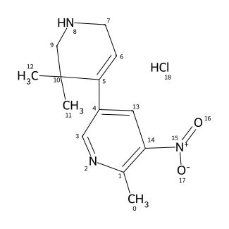 Cc1ncc(C2=CCNCC2(C)C)cc1[N+](=O)[O-].Cl